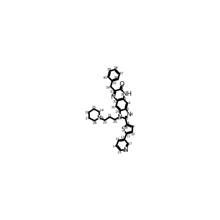 O=c1[nH]c2cc3nc(-c4ccc(-c5cccnc5)s4)n(CCCN4CCCCC4)c3cc2nc1Cc1ccccc1